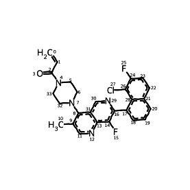 C=CC(=O)N1CCN(c2c(C)cnc3c(F)c(-c4cccc5ccc(F)c(Cl)c45)ncc23)CC1